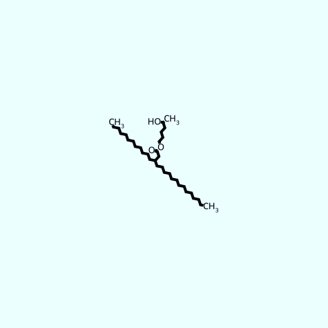 CCCCCCCCCCCCCCC(CCCCCCCCCCCC)CC(=O)OCCCCC(C)O